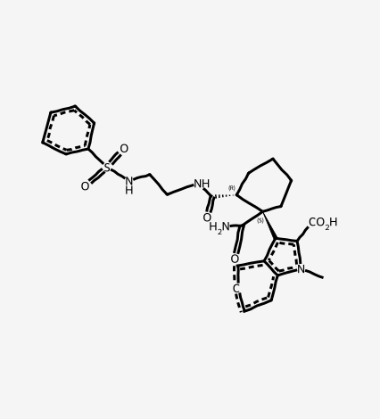 Cn1c(C(=O)O)c([C@]2(C(N)=O)CCCC[C@H]2C(=O)NCCNS(=O)(=O)c2ccccc2)c2ccccc21